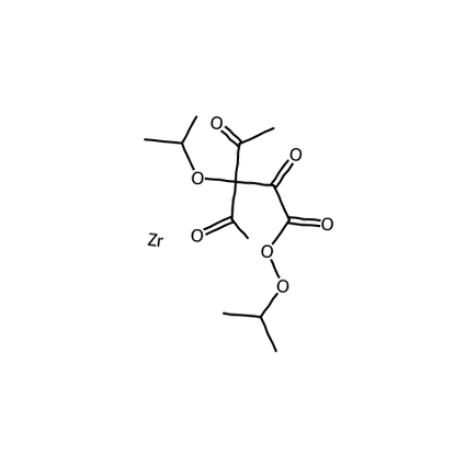 CC(=O)C(OC(C)C)(C(C)=O)C(=O)C(=O)OOC(C)C.[Zr]